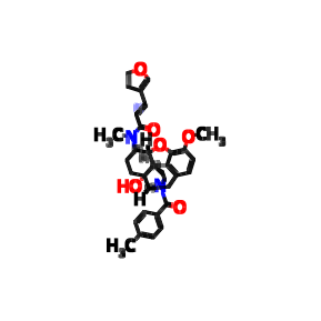 COc1ccc2c3c1O[C@H]1[C@H](N(C)C(=O)/C=C/c4ccoc4)CCC4(O)[C@@H](C2)N(C(=O)c2ccc(C)cc2)CC[C@]314